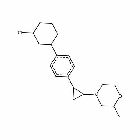 CC1CN(C2CC2c2ccc(C3CCCC(Cl)C3)cc2)CCO1